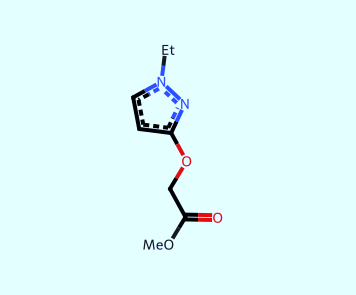 CCn1ccc(OCC(=O)OC)n1